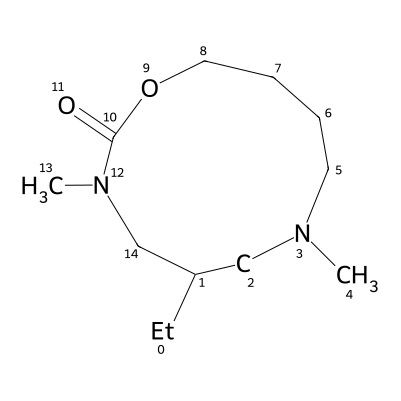 CCC1CN(C)CCCCOC(=O)N(C)C1